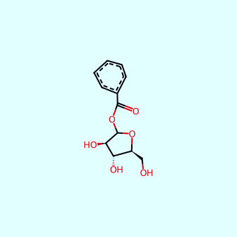 O=C(OC1O[C@@H](CO)[C@H](O)[C@H]1O)c1ccccc1